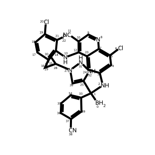 BC(Nc1cc(Cl)c2ncc(C#N)c(Nc3c(F)ccc(Cl)c3F)c2c1)(C1=CN(C2CC2)NN1)c1cccc(C#N)c1